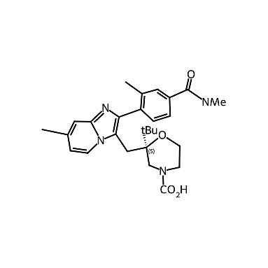 CNC(=O)c1ccc(-c2nc3cc(C)ccn3c2C[C@]2(C(C)(C)C)CN(C(=O)O)CCO2)c(C)c1